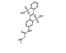 CNCC(=O)Nc1ccc(C=Cc2ccccc2S(=O)(=O)O)c(S(=O)(=O)O)c1